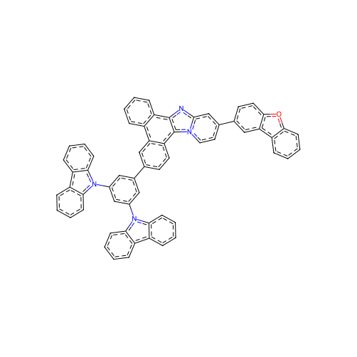 c1ccc2c(c1)oc1ccc(-c3ccn4c(c3)nc3c5ccccc5c5cc(-c6cc(-n7c8ccccc8c8ccccc87)cc(-n7c8ccccc8c8ccccc87)c6)ccc5c34)cc12